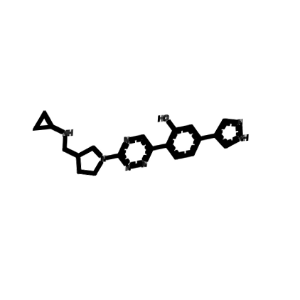 Oc1cc(-c2cn[nH]c2)ccc1-c1cnc(N2CCC(CNC3CC3)C2)nn1